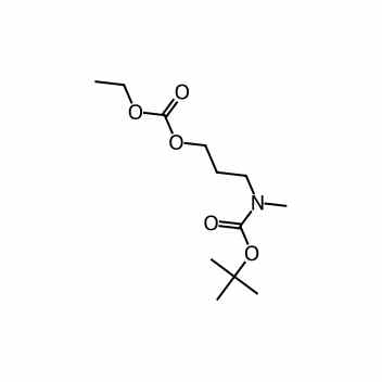 CCOC(=O)OCCCN(C)C(=O)OC(C)(C)C